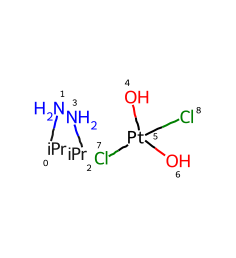 CC(C)N.CC(C)N.[OH][Pt]([OH])([Cl])[Cl]